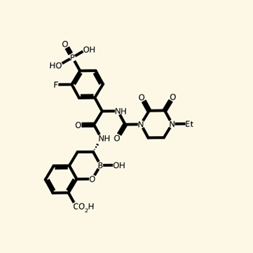 CCN1CCN(C(=O)NC(C(=O)N[C@H]2Cc3cccc(C(=O)O)c3OB2O)c2ccc(P(=O)(O)O)c(F)c2)C(=O)C1=O